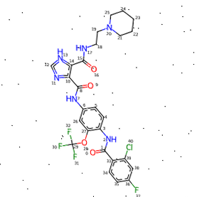 O=C(Nc1ccc(NC(=O)c2nc[nH]c2C(=O)NCCN2CCCCC2)cc1OC(F)(F)F)c1ccc(F)cc1Cl